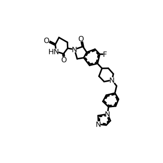 O=C1CCC(N2Cc3cc(C4CCN(Cc5ccc(-n6ccnc6)cc5)CC4)c(F)cc3C2=O)C(=O)N1